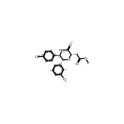 COC(=O)C[C@@H]1O[C@H](c2cccc(Cl)c2)[C@@H](c2ccc(Cl)cc2)NC1=O